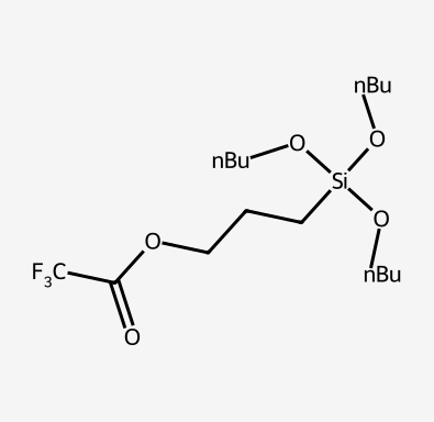 CCCCO[Si](CCCOC(=O)C(F)(F)F)(OCCCC)OCCCC